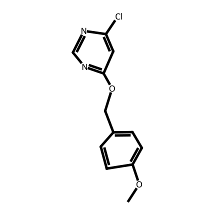 COc1ccc(COc2cc(Cl)ncn2)cc1